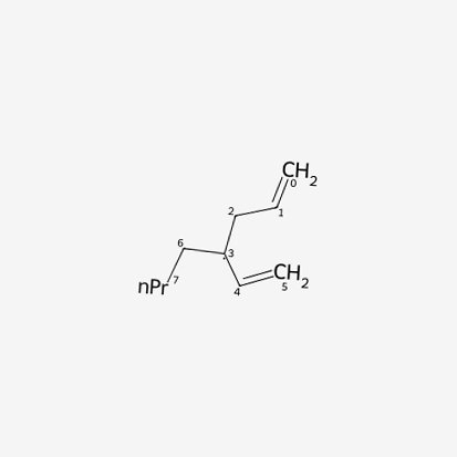 C=CC[C](C=C)CCCC